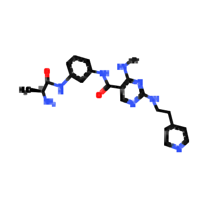 CCCNc1nc(NCCc2ccncc2)ncc1C(=O)Nc1cccc(NC(=O)[C@H](C)N)c1